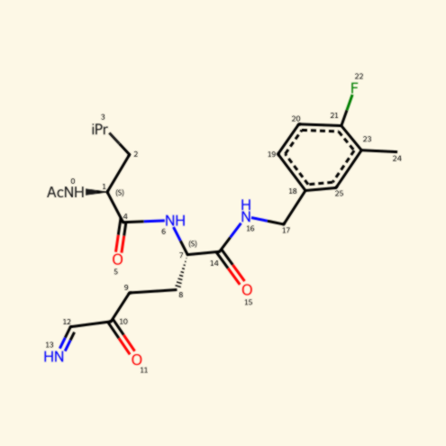 CC(=O)N[C@@H](CC(C)C)C(=O)N[C@@H](CCC(=O)C=N)C(=O)NCc1ccc(F)c(C)c1